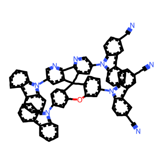 N#Cc1ccc2c(c1)c1ccccc1n2-c1cnc2c(c1)C1(c3ccc(-n4c5ccccc5c5ccccc54)cc3Oc3cc(-n4c5ccc(C#N)cc5c5cc(C#N)ccc54)ccc31)c1cc(-n3c4ccccc4c4ccccc43)cnc1-2